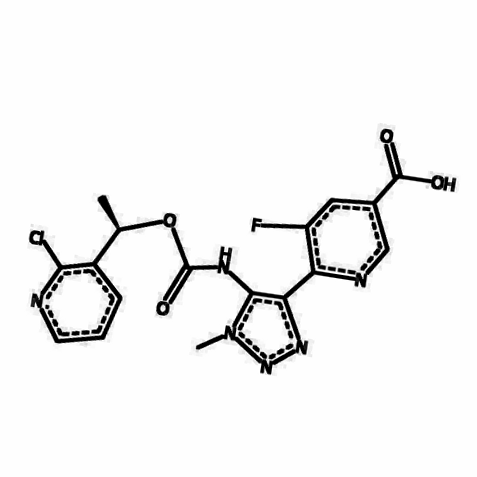 C[C@@H](OC(=O)Nc1c(-c2ncc(C(=O)O)cc2F)nnn1C)c1cccnc1Cl